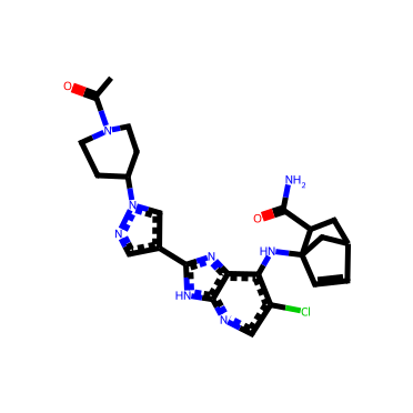 CC(=O)N1CCC(n2cc(-c3nc4c(NC56C=CC(CC5C(N)=O)C6)c(Cl)cnc4[nH]3)cn2)CC1